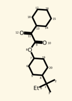 CCC(C)(C)C1CCC(OC(=O)C(=O)C2CCCCC2)CC1